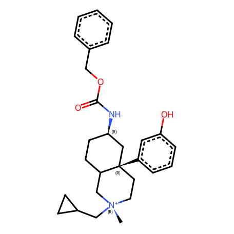 C[N@+]1(CC2CC2)CC[C@@]2(c3cccc(O)c3)C[C@H](NC(=O)OCc3ccccc3)CCC2C1